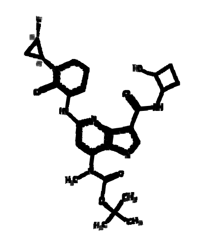 CN(C(=O)OC(C)(C)C)c1cc(Nc2cccn([C@H]3C[C@@H]3F)c2=O)nc2c(C(=O)NC3CCC3O)cnn12